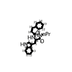 CCCNC(=O)/C(=C/c1c[nH]c2ccccc12)NC(=O)/C=C\c1ccccc1